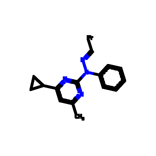 Cc1cc(C2CC2)nc(N(N=CC(C)C)c2ccccc2)n1